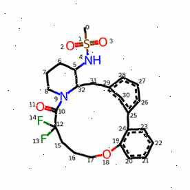 CS(=O)(=O)NC1CCCN2C(=O)C(F)(F)CCCOc3ccccc3-c3cccc(c3)CC12